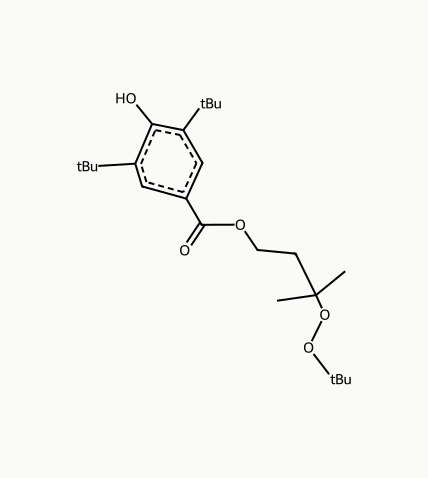 CC(C)(C)OOC(C)(C)CCOC(=O)c1cc(C(C)(C)C)c(O)c(C(C)(C)C)c1